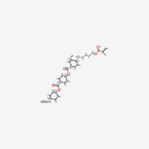 C=C(C)C(=O)OCCCCSc1ccc(C(=O)Oc2ccc(C(=O)Oc3ccc(CCCCCCCCCC)cc3)cc2)cc1C